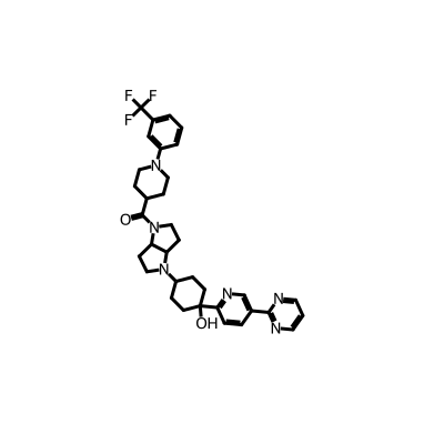 O=C(C1CCN(c2cccc(C(F)(F)F)c2)CC1)N1CCC2C1CCN2C1CCC(O)(c2ccc(-c3ncccn3)cn2)CC1